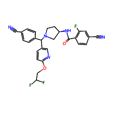 N#Cc1ccc(C(c2ccc(OCC(F)F)nc2)N2CC[C@@H](NC(=O)c3ccc(C#N)cc3F)C2)cc1